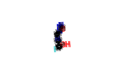 Oc1ccc(F)cc1C1CCN([C@@H]2CCC3(C2)CN(c2nnco2)C3)CC1